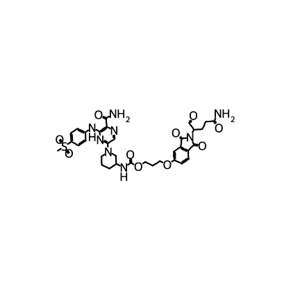 CS(=O)(=O)c1ccc(Nc2nc(N3CCCC(NC(=O)OCCCOc4ccc5c(c4)C(=O)N(C(C=O)CCC(N)=O)C5=O)C3)cnc2C(N)=O)cc1